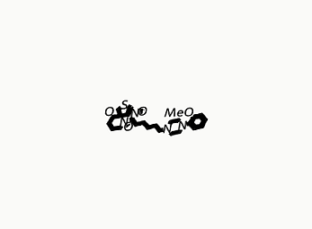 COc1ccccc1N1CCN(CCCCCC2[N+](=O)C3=CC4(CS3)C(=O)CCC[N+]24[O-])CC1